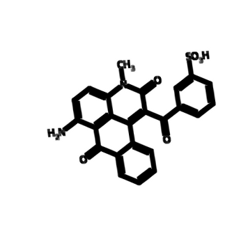 Cn1c(=O)c(C(=O)c2cccc(S(=O)(=O)O)c2)c2c3c(c(N)ccc31)C(=O)c1ccccc1-2